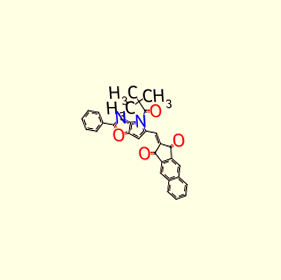 CC(C)(C)C(=O)n1c(C=C2C(=O)c3cc4ccccc4cc3C2=O)cc2oc(-c3ccccc3)nc21